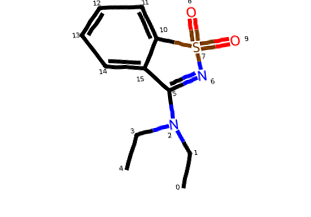 CCN(CC)C1=NS(=O)(=O)c2ccccc21